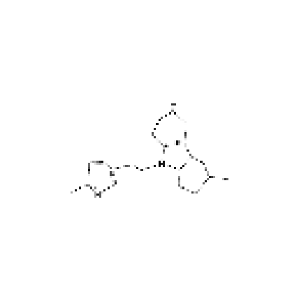 Cc1ccc(CCN2C3=C(CNCC3)C3CC(C)CCC32)cn1